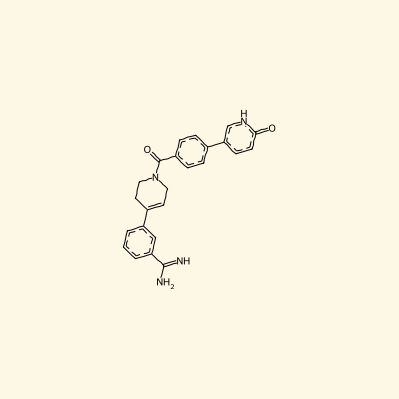 N=C(N)c1cccc(C2=CCN(C(=O)c3ccc(-c4ccc(=O)[nH]c4)cc3)CC2)c1